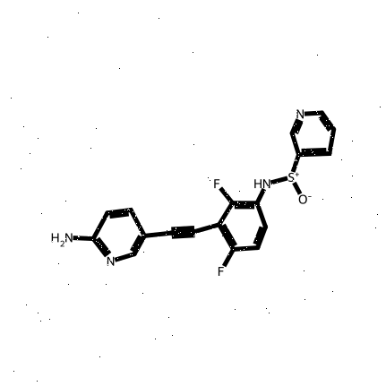 Nc1ccc(C#Cc2c(F)ccc(N[S+]([O-])c3cccnc3)c2F)cn1